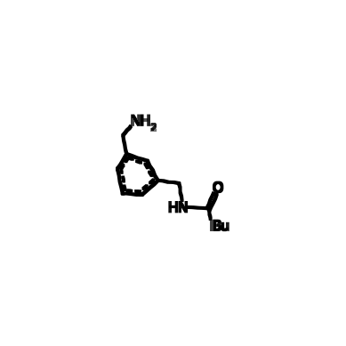 CCC(C)C(=O)NCc1cccc(CN)c1